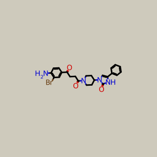 Nc1ccc(C(=O)CCC(=O)N2CCC(n3cc(-c4ccccc4)[nH]c3=O)CC2)cc1Br